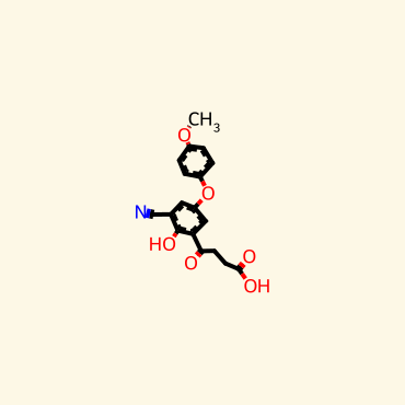 COc1ccc(Oc2cc(C#N)c(O)c(C(=O)CCC(=O)O)c2)cc1